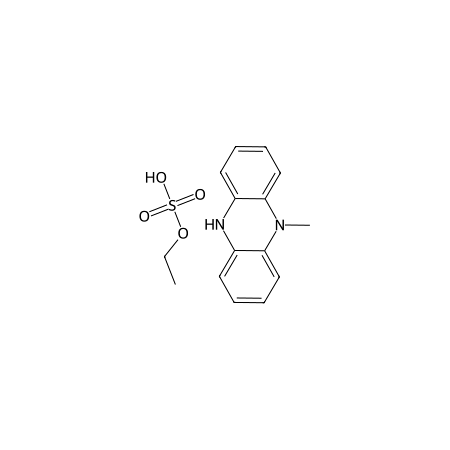 CCOS(=O)(=O)O.CN1c2ccccc2Nc2ccccc21